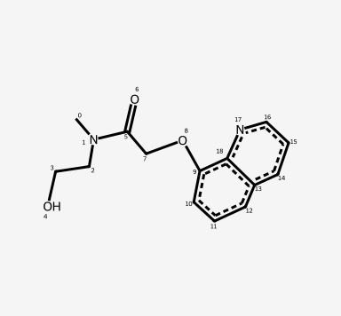 CN(CCO)C(=O)COc1cccc2cccnc12